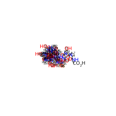 O=C(O)CNC(=O)[C@@H]1CCCN1C(=O)[C@@H]1C[C@@H](O)CN1C(=O)CNC(=O)[C@H](CS)NC(=O)[C@@H]1C[C@@H](O)CN1C(=O)CNC(=O)[C@@H]1CCCN1C(=O)[C@@H]1C[C@@H](O)CN1C(=O)CNC(=O)[C@@H]1CCCN1C(=O)[C@@H]1C[C@@H](O)CN1C(=O)CNC(=O)[C@@H]1CCCN1C(=O)[C@@H]1C[C@@H](O)CN1C(=O)CNC(=O)[C@@H]1CCCN1C(=O)[C@@H]1C[C@@H](O)CN1C(=O)CNC(=O)[C@@H]1CCCN1C(=O)[C@@H]1C[C@@H](O)CN1